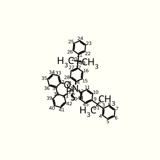 CC(C)(c1ccccc1)c1ccc(N(c2ccc(C(C)(C)c3ccccc3)cc2)P2(=S)Oc3ccccc3C3C=CC=CC32)cc1